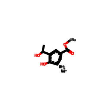 CC(O)c1cc(C(=O)OC(C)(C)C)ccc1O.[BH4-].[Na+]